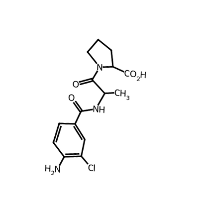 CC(NC(=O)c1ccc(N)c(Cl)c1)C(=O)N1CCCC1C(=O)O